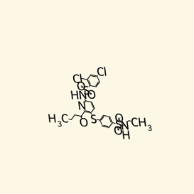 CCCC(=O)c1nc(NS(=O)(=O)c2ccc(Cl)cc2Cl)ccc1Sc1ccc(S(=O)(=O)NCC)cc1